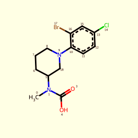 CN(C(=O)O)C1CCCN(c2ccc(Cl)cc2Br)C1